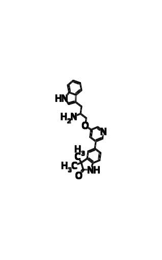 CC1(C)C(=O)Nc2ccc(-c3cncc(OCC(N)Cc4c[nH]c5ccccc45)c3)cc21